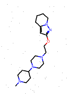 CN1CCC(N2CCN(CCOc3cc4n(n3)CCCC4)CC2)CC1